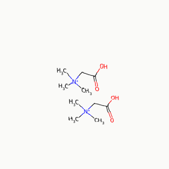 C[N+](C)(C)CC(=O)O.C[N+](C)(C)CC(=O)O